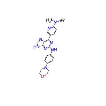 CCCN(C)c1ccc(-c2nc(Nc3ccc(N4CCOCC4)cc3)nc3[nH]cnc23)cn1